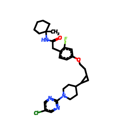 CC1(NC(=O)Cc2ccc(OCCC3CC3C3CCN(c4ncc(Cl)cn4)CC3)cc2F)CCCCC1